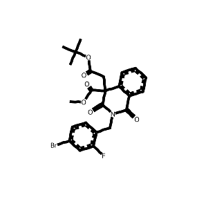 COC(=O)C1(CC(=O)OC(C)(C)C)C(=O)N(Cc2ccc(Br)cc2F)C(=O)c2ccccc21